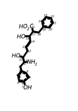 NC(Cc1ccc(O)cc1)C(O)CC=CC(O)C(Cc1ccccc1)C(=O)O